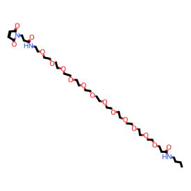 CCCCNC(=O)CCOCCOCCOCCOCCOCCOCCOCCOCCOCCOCCOCCOCCNC(=O)CCN1C(=O)C=CC1=O